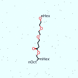 CCCCCCCCC(CCCCCC)COC(=O)CCCOCCOCCOCCCCCC